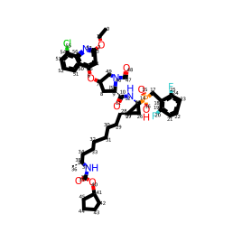 CCOc1cc(OC2C[C@@H](C(=O)N[C@]3(P(=O)(O)Cc4c(F)cccc4F)C[C@H]3CCCCCCC[C@@H](C)NC(=O)OC3CCCC3)N(C=O)C2)c2cccc(Cl)c2n1